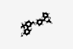 COc1ccc(F)c(-c2cc(COc3ccc([C@H](CC(C)=O)c4ccccc4)cc3)ccc2C(C)(C)C)c1